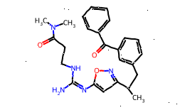 CC(Cc1cccc(C(=O)c2ccccc2)c1)c1cc(N=C(N)NCCC(=O)N(C)C)on1